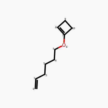 C=CCCCCOC1=CCC1